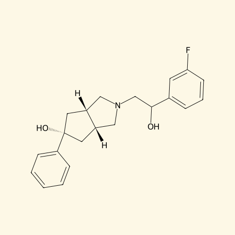 OC(CN1C[C@@H]2C[C@@](O)(c3ccccc3)C[C@@H]2C1)c1cccc(F)c1